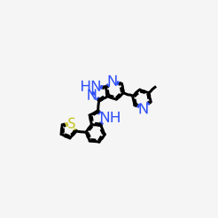 Cc1cncc(-c2cnc3[nH]nc(-c4cc5c(-c6cccs6)cccc5[nH]4)c3c2)c1